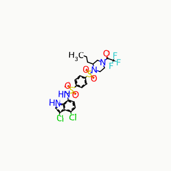 CCCC1CN(C(=O)C(F)(F)F)CCN1S(=O)(=O)c1ccc(S(=O)(=O)Nc2ccc(Cl)c3c(Cl)c[nH]c23)cc1